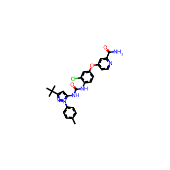 Cc1ccc(-n2nc(C(C)(C)C)cc2NC(=O)Nc2ccc(Oc3ccnc(C(N)=O)c3)cc2Cl)cc1